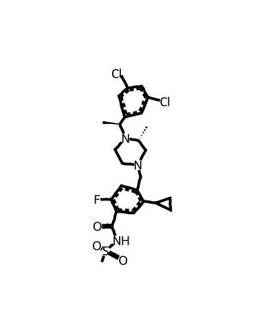 C[C@@H]1CN(Cc2cc(F)c(C(=O)NS(C)(=O)=O)cc2C2CC2)CCN1[C@@H](C)c1cc(Cl)cc(Cl)c1